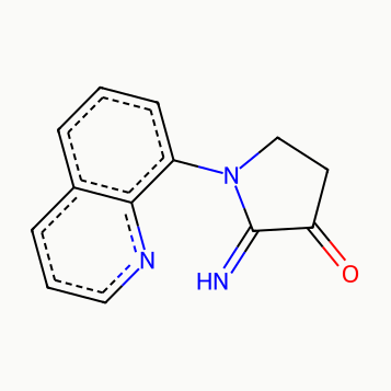 N=C1C(=O)CCN1c1cccc2cccnc12